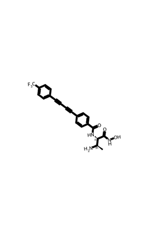 C[C@@H](N)[C@H](NC(=O)c1ccc(C#CC#Cc2ccc(C(F)(F)F)cc2)cc1)C(=O)NO